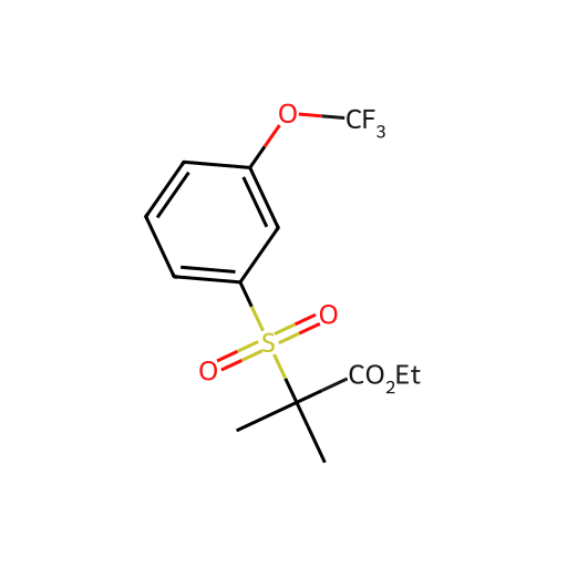 CCOC(=O)C(C)(C)S(=O)(=O)c1cccc(OC(F)(F)F)c1